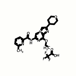 CCOc1nc(NC(=O)c2cccc(C)n2)cn2cc(C3CCOCC3)nc12.O=C(O)C(F)(F)F